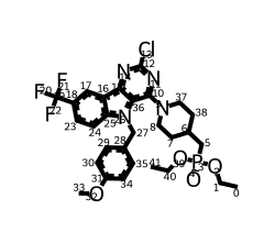 CCOP(=O)(CC1CCN(c2nc(Cl)nc3c4cc(C(F)(F)F)ccc4n(Cc4ccc(OC)cc4)c23)CC1)OCC